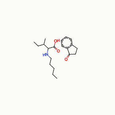 CCCCCNC(C(=O)O)C(C)CC.O=C1CCc2ccccc21